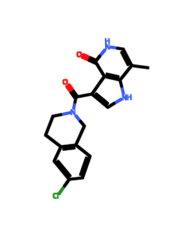 Cc1c[nH]c(=O)c2c(C(=O)N3CCc4cc(Cl)ccc4C3)c[nH]c12